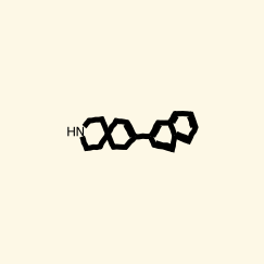 C1=C(c2ccc3ccccc3c2)CCC2(C1)CCNCC2